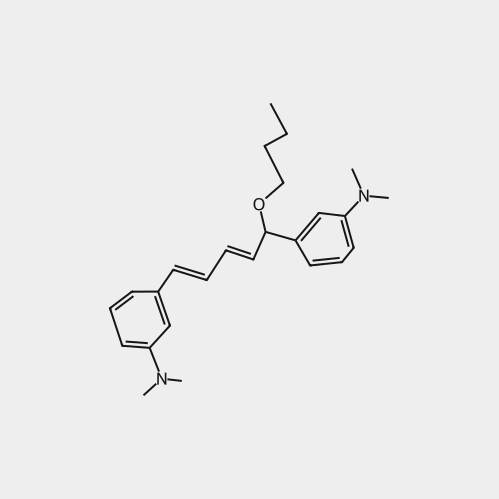 CCCCOC(/C=C/C=C/c1cccc(N(C)C)c1)c1cccc(N(C)C)c1